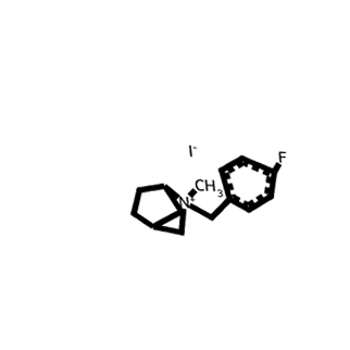 C[N+]1(Cc2ccc(F)cc2)CC2CCC1C2.[I-]